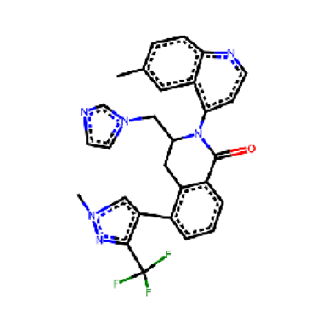 Cc1ccc2nccc(N3C(=O)c4cccc(-c5cn(C)nc5C(F)(F)F)c4CC3Cn3ccnc3)c2c1